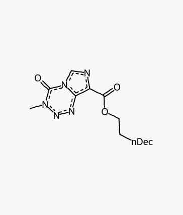 CCCCCCCCCCCCOC(=O)c1ncn2c(=O)n(C)nnc12